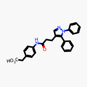 O=C(O)Cc1ccc(NC(=O)CCc2cnn(-c3ccccc3)c2-c2ccccc2)cc1